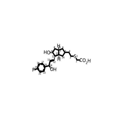 O=C(O)CSCCC1C[C@H]2C[C@@H](O)[C@H](C=CC(O)c3ccc(F)cc3)[C@@H]2C1